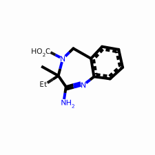 CCC1(C)C(N)=Nc2ccccc2CN1C(=O)O